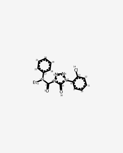 CCN(C(=O)n1nnn(-c2ccccc2Cl)c1=O)c1ccccc1